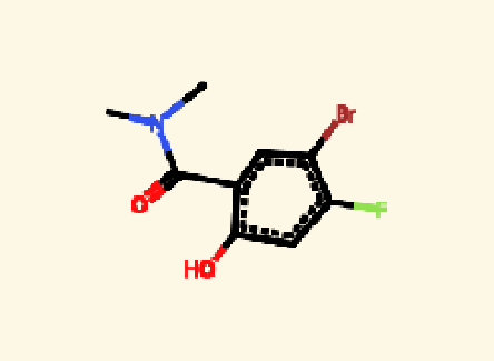 CN(C)C(=O)c1cc(Br)c(F)cc1O